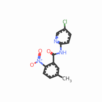 Cc1ccc([N+](=O)[O-])c(C(=O)Nc2ccc(Cl)cn2)c1